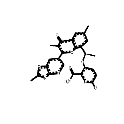 Cc1cc([C@@H](C)Oc2ccc(Cl)nc2C(N)=O)c2oc(-c3cnc4nc(C)oc4c3)c(C)c(=O)c2c1